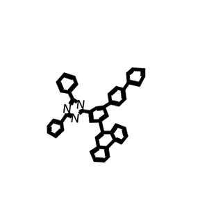 c1ccc(-c2ccc(-c3cc(-c4nc(-c5ccccc5)nc(-c5ccccc5)n4)cc(-c4cc5ccccc5c5ccccc45)c3)cc2)cc1